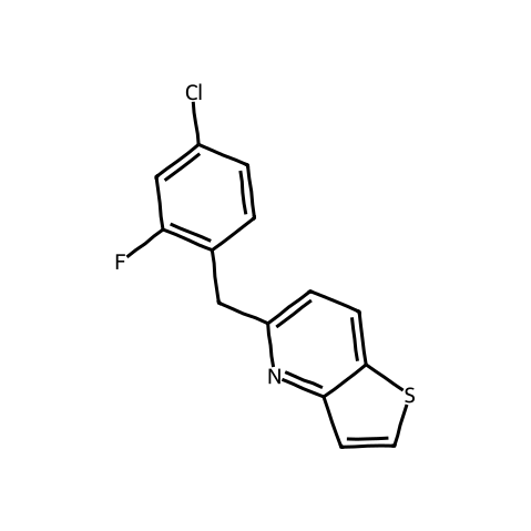 Fc1cc(Cl)ccc1Cc1ccc2sccc2n1